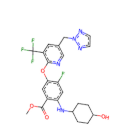 COC(=O)c1cc(Oc2ncc(Cn3nccn3)cc2C(F)(F)F)c(F)cc1NC1CCC(O)CC1